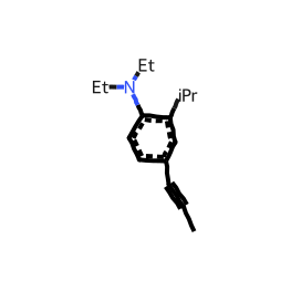 CC#Cc1ccc(N(CC)CC)c(C(C)C)c1